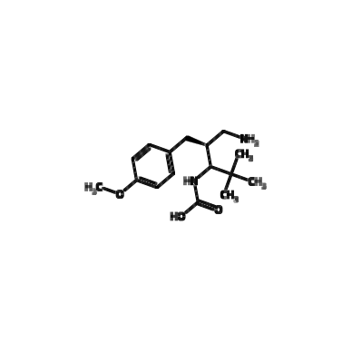 COc1ccc(C[C@@H](CN)C(NC(=O)O)C(C)(C)C)cc1